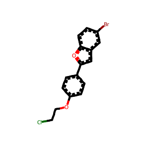 ClCCOc1ccc(-c2cc3cc(Br)ccc3o2)cc1